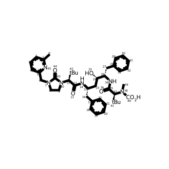 Cc1cccc(CN2CCN([C@H](C(=O)N[C@@H](Cc3ccccc3)C[C@H](O)[C@H](Cc3ccccc3)NC(=O)[C@@H](N(C)C(=O)O)C(C)(C)C)C(C)(C)C)C2=O)n1